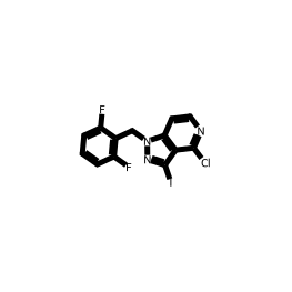 Fc1cccc(F)c1Cn1nc(I)c2c(Cl)nccc21